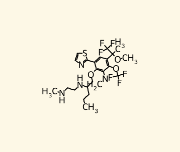 C=Nc1c(OCC(CCC)NCCNC)c(-c2nccs2)cc(C(C)(OC)C(F)(F)F)c1OC(F)(F)F